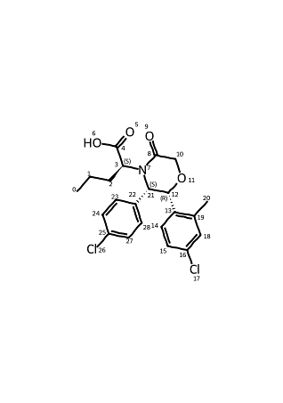 CCC[C@@H](C(=O)O)N1C(=O)CO[C@H](c2ccc(Cl)cc2C)[C@@H]1c1ccc(Cl)cc1